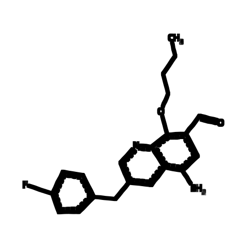 Bc1cc(C=O)c(OCCCC)c2ncc(Cc3ccc(F)cc3)cc12